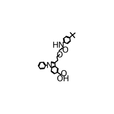 CC(C)(C)c1ccc(NC(=O)COCCc2cn(-c3ccccc3)c3ccc(C(=O)O)cc23)cc1